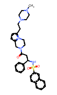 CN1CCN(CCc2ccc3n2CCN(C(=O)CC(NS(=O)(=O)c2ccc4ccccc4c2)c2ccccc2)C3)CC1